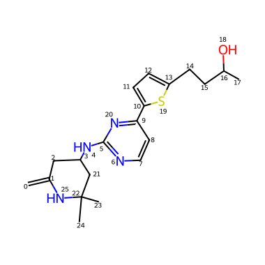 C=C1CC(Nc2nccc(-c3ccc(CCC(C)O)s3)n2)CC(C)(C)N1